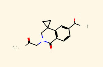 COC(=O)CN1CC2(CC2)c2cc(C(C)O)ccc2C1=O